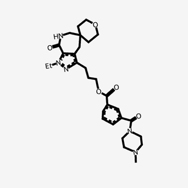 CCn1nc(CCCOC(=O)c2cccc(C(=O)N3CCN(C)CC3)c2)c2c1C(=O)NCC1(CCOCC1)C2